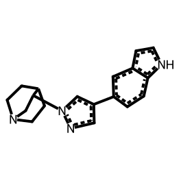 c1cc2cc(-c3cnn(C4CN5CCC4CC5)c3)ccc2[nH]1